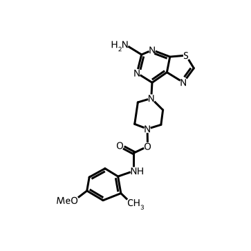 COc1ccc(NC(=O)ON2CCN(c3nc(N)nc4scnc34)CC2)c(C)c1